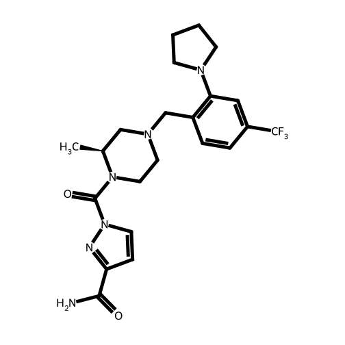 C[C@H]1CN(Cc2ccc(C(F)(F)F)cc2N2CCCC2)CCN1C(=O)n1ccc(C(N)=O)n1